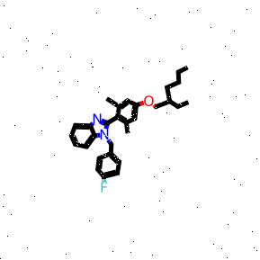 CCCCC(CC)COc1cc(C)c(-c2nc3ccccc3n2Cc2ccc(F)cc2)c(C)c1